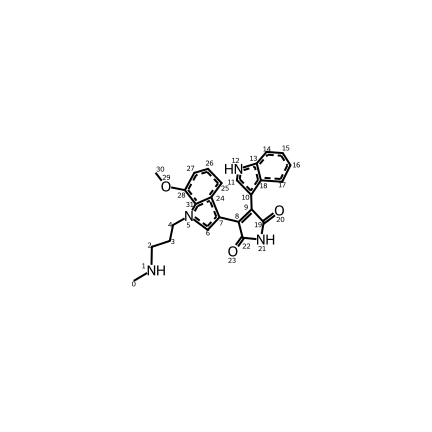 CNCCCn1cc(C2=C(c3c[nH]c4ccccc34)C(=O)NC2=O)c2cccc(OC)c21